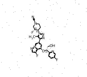 Cc1c(-c2cc(O[C@H](CO)c3ccc(F)cn3)c3c(F)cnn3c2)nnn1[C@@H]1CCN(C#N)C[C@H]1F